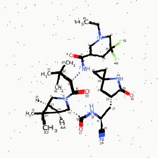 CCN1CC(C(=O)N[C@H](C(=O)N2C[C@H]3[C@@H]([C@H]2C(=O)N[C@H](C#N)C[C@@H]2CC4(CC4)NC2=O)C3(C)C)C(C)(C)C)CC(F)(F)C1